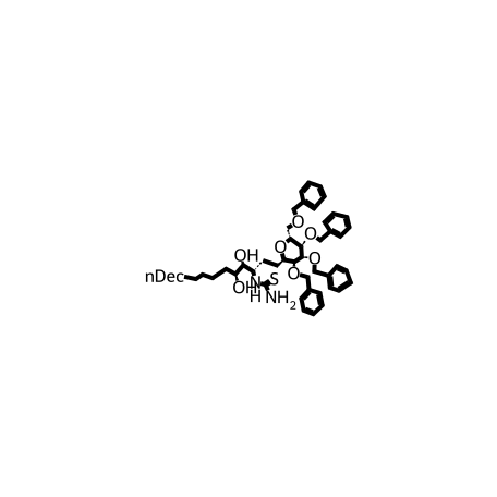 CCCCCCCCCCCCCC[C@H](O)[C@@H](O)[C@H](CC[C@H]1O[C@H](COCc2ccccc2)[C@H](OCc2ccccc2)[C@H](OCc2ccccc2)[C@H]1OCc1ccccc1)NC(N)=S